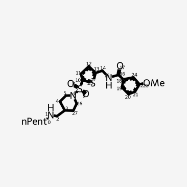 CCCCCNCC1CCN(S(=O)(=O)c2ccc(CNC(=O)c3cccc(OC)c3)s2)CC1